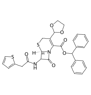 O=C(Cc1cccs1)NC1C(=O)N2C(C(=O)OC(c3ccccc3)c3ccccc3)=C(C3OCCO3)CS[C@H]12